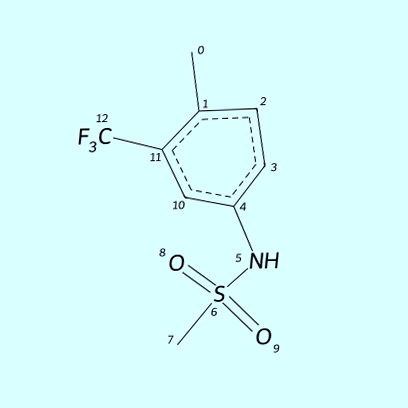 Cc1ccc(NS(C)(=O)=O)cc1C(F)(F)F